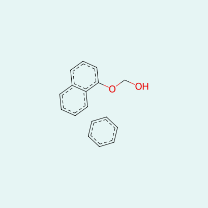 OCOc1cccc2ccccc12.c1ccccc1